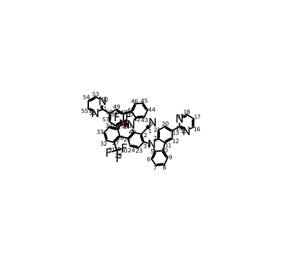 N#Cc1c(-n2c3ccccc3c3cc(-c4ncccn4)ccc32)ccc(-c2c(C(F)(F)F)cccc2C(F)(F)F)c1-n1c2ccccc2c2cc(-c3ncccn3)ccc21